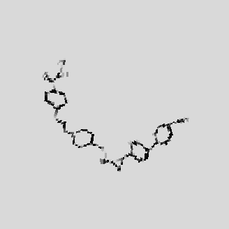 N#Cc1ccc(-c2ccc(C3CC3NCC3CCN(CCCc4ccc(C(=O)NO)cc4)CC3)cc2)cc1